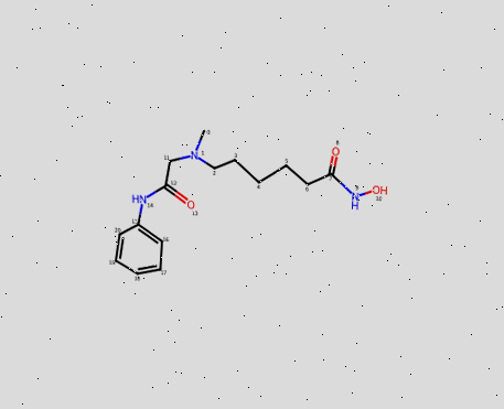 CN(CCCCCC(=O)NO)CC(=O)Nc1ccccc1